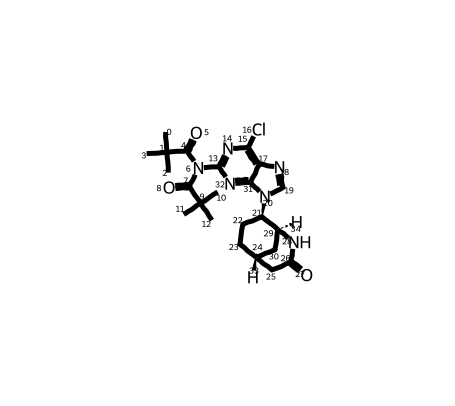 CC(C)(C)C(=O)N(C(=O)C(C)(C)C)c1nc(Cl)c2ncn([C@@H]3CC[C@H]4CC(=O)N[C@H]3C4)c2n1